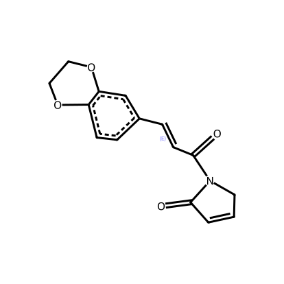 O=C1C=CCN1C(=O)/C=C/c1ccc2c(c1)OCCO2